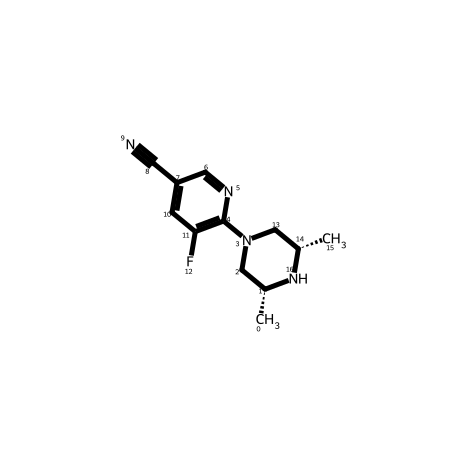 C[C@@H]1CN(c2ncc(C#N)cc2F)C[C@H](C)N1